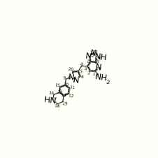 Nc1cc(Cc2cnn(Cc3ccc4c(c3)CNCC4)c2)c2nn[nH]c2n1